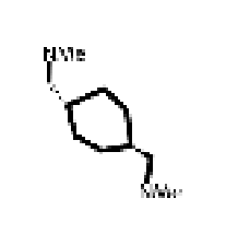 CNC[C@H]1CC[C@H](CNC)CC1